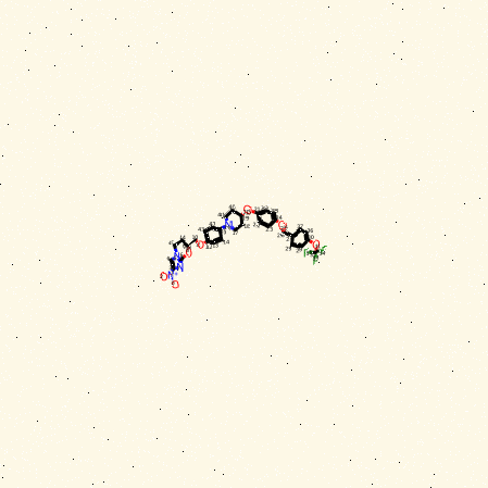 O=[N+]([O-])c1cn2c(n1)O[C@H](COc1ccc(N3CCC(Oc4ccc(OCc5ccc(OC(F)(F)F)cc5)cc4)CC3)cc1)CC2